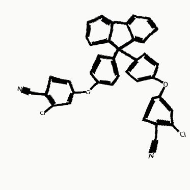 N#Cc1ccc(Oc2ccc(C3(c4ccc(Oc5ccc(C#N)c(Cl)c5)cc4)c4ccccc4-c4ccccc43)cc2)cc1Cl